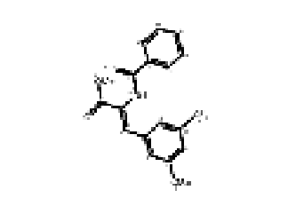 COC(=O)C(=Cc1cc(OC)cc(C(F)(F)F)c1)NC(=O)c1ccccc1